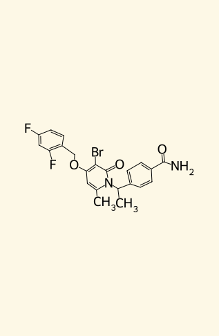 Cc1cc(OCc2ccc(F)cc2F)c(Br)c(=O)n1C(C)c1ccc(C(N)=O)cc1